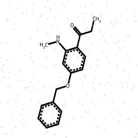 CCC(=O)c1ccc(OCc2ccccc2)cc1NC